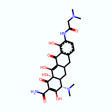 CN(C)CC(=O)Nc1ccc2c(c1O)C(=O)C1=C(O)[C@]3(O)C(=O)C(C(N)=O)=C(O)[C@@H](N(C)C)C3CC1C2